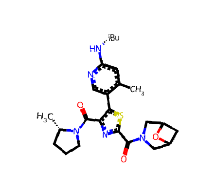 CC[C@@H](C)Nc1cc(C)c(-c2sc(C(=O)N3CC4CC(C3)O4)nc2C(=O)N2CCC[C@@H]2C)cn1